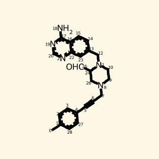 Cc1ccc(C#CCN2CCN(Cc3ccc4c(N)ncnc4c3)C(C=O)C2)cc1